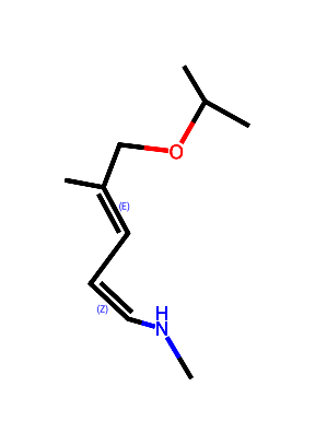 CN/C=C\C=C(/C)COC(C)C